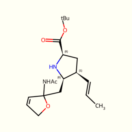 CC=C[C@@H]1C[C@H](C(=O)OC(C)(C)C)N[C@@H]1CC1(NC(C)=O)C=CCO1